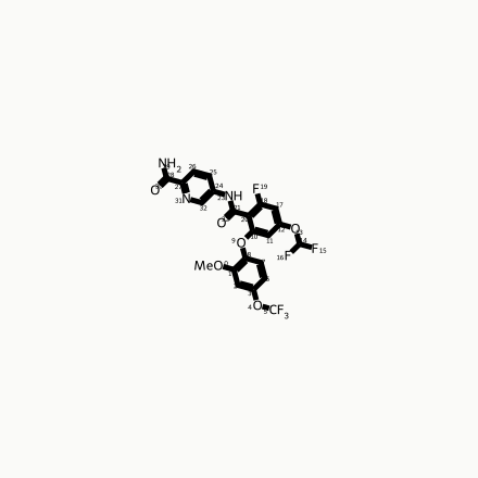 COc1cc(OC(F)(F)F)ccc1Oc1cc(OC(F)F)cc(F)c1C(=O)Nc1ccc(C(N)=O)nc1